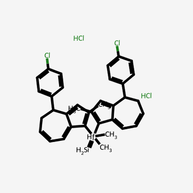 CC1=[C]([Hf]([CH3])([CH3])(=[SiH2])[C]2=C(C)C=C3C2=CC=CCC3c2ccc(Cl)cc2)C2=CC=CCC(c3ccc(Cl)cc3)C2=C1.Cl.Cl